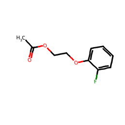 CC(=O)OCCOc1ccccc1F